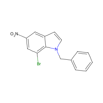 O=[N+]([O-])c1cc(Br)c2c(ccn2Cc2ccccc2)c1